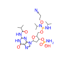 CC(C)NP(OCC1OC(n2cnc3c(=O)[nH]c(NC(=O)C(C)C)nc32)CC1OP(N)(=O)O)N(OCCC#N)C(C)C